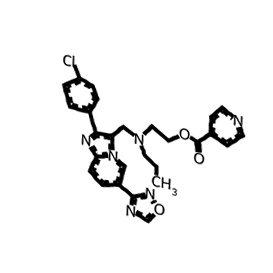 CCCN(CCOC(=O)c1ccncc1)Cc1c(-c2ccc(Cl)cc2)nc2ccc(-c3ncon3)cn12